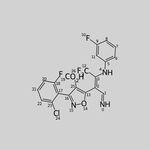 N=C/C(=C(\Nc1cccc(F)c1)C(F)(F)F)c1onc(-c2c(F)cccc2Cl)c1C(=O)O